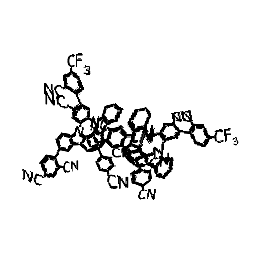 N#Cc1ccc(-c2ccc3c(c2)c2ccccc2n3-c2cc(-c3ccc(C(F)(F)F)cc3C#N)c(C#N)cc2-n2c3ccc(-c4ccc(C#N)cc4C#N)cc3c3ccc(-c4cc(-c5ccc6c7ccccc7n(-c7cc(-c8ccc(C(F)(F)F)cc8C#N)c(C#N)cc7-n7c8ccccc8c8ccc(-c9ccc(C#N)cc9C#N)cc87)c6c5)c(C#N)cc4C#N)cc32)c(C#N)c1